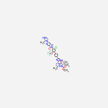 COC(=O)N[C@H](C(=O)N1C[C@@H](C)CC[C@H]1c1nc(-c2ccc(-c3cc(Cl)c(NC(=O)c4ccc(N5CCNCC5C)nc4)cc3OC(F)(F)F)cc2)c[nH]1)C(C)C